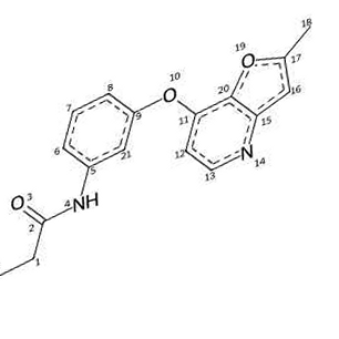 CCC(=O)Nc1cccc(Oc2ccnc3cc(C)oc23)c1